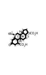 CC(C)(C)N1C[C@H]2[C@@H]3CC[C@H](C(=O)O)[C@@]3(C)CC[C@@H]2[C@]2(C)C1=CC(=O)CC2C(=O)O